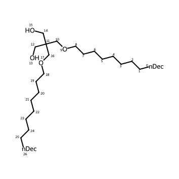 CCCCCCCCCCCCCCCCCCOCC(CO)(CO)COCCCCCCCCCCCCCCCCCC